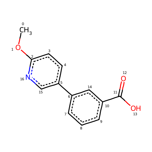 COc1ccc(-c2cccc(C(=O)O)c2)cn1